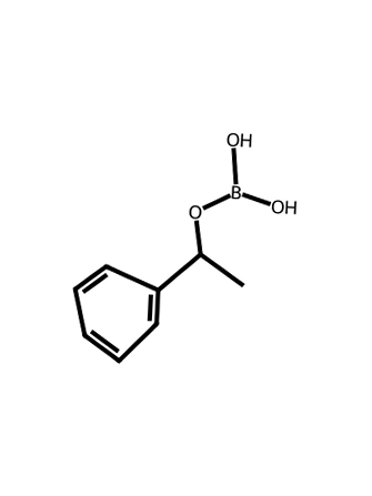 CC(OB(O)O)c1ccccc1